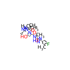 Cc1cc(-c2noc(C(C)NC(=O)C3CC(O)CN3C(=O)[C@@H](n3cc(C4CC4)nn3)C(C)(C)C)n2)ccc1F